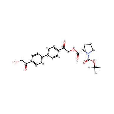 BCC(=O)c1ccc(-c2ccc(C(=O)COC(=O)[C@@H]3CCCN3C(=O)OC(C)(C)C)cc2)cc1